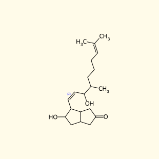 CC(C)=CCCCC(C)C(O)/C=C\C1C(O)CC2CC(=O)CC21